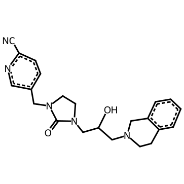 N#Cc1ccc(CN2CCN(CC(O)CN3CCc4ccccc4C3)C2=O)cn1